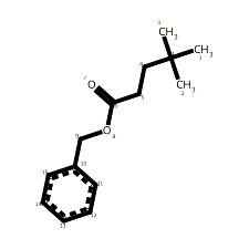 CC(C)(C)CCC(=O)OCc1ccccc1